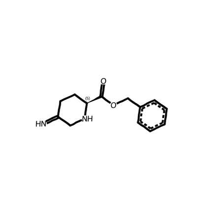 N=C1CC[C@@H](C(=O)OCc2ccccc2)NC1